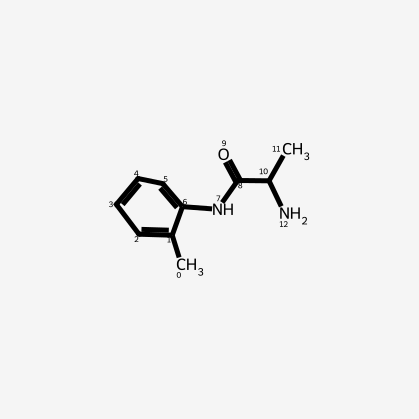 Cc1ccccc1NC(=O)C(C)N